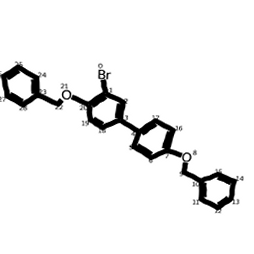 Brc1cc(-c2ccc(OCc3ccccc3)cc2)ccc1OCc1ccccc1